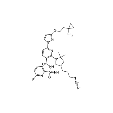 CC1(C)CC(CCCN=[N+]=[N-])CN1c1nc(-n2ccc(OCCC3(C(F)(F)F)CC3)n2)ccc1C(=O)NS(=N)(=O)c1cccc(F)n1